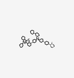 CC1C=CC=CC1c1ccc(-c2ccc(N(c3ccc(-c4cccc5c4sc4c6ccccc6n(-c6ccccc6)c54)cc3)c3cccc(-c4ccccc4)c3)cc2)cc1